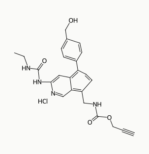 C#CCOC(=O)NCc1ccc(-c2ccc(CO)cc2)c2cc(NC(=O)NCC)ncc12.Cl